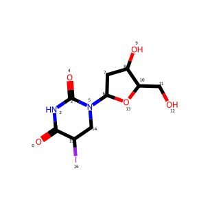 O=C1NC(=O)N(C2CC(O)C(CO)O2)CC1I